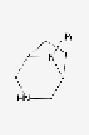 CC(C)N1C2CCC1CNC2